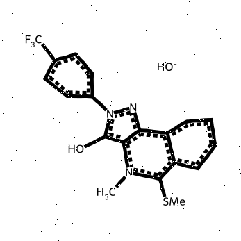 CSc1c2ccccc2c2nn(-c3ccc(C(F)(F)F)cc3)c(O)c2[n+]1C.[OH-]